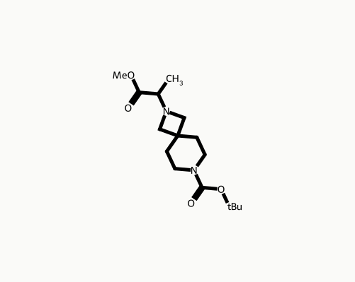 COC(=O)C(C)N1CC2(CCN(C(=O)OC(C)(C)C)CC2)C1